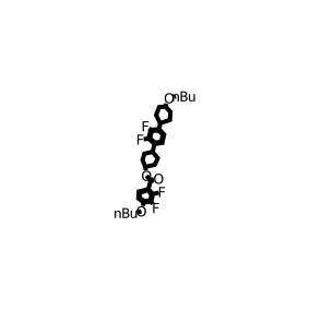 CCCCOc1ccc(C(=O)OC2CCC(c3ccc(C4CCC(OCCCC)CC4)c(F)c3F)CC2)c(F)c1F